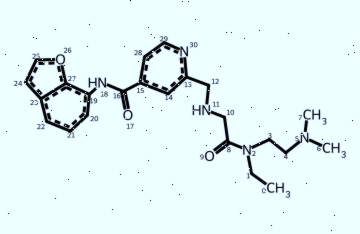 CCN(CCN(C)C)C(=O)CNCc1cc(C(=O)Nc2cccc3ccoc23)ccn1